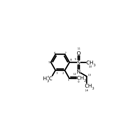 C=Cc1c(C)cccc1S(C)(=O)=NCC